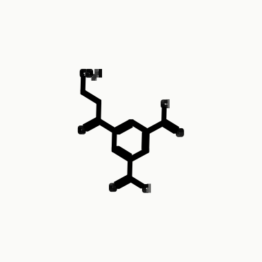 O=C(O)CCC(=O)c1cc(C(=O)Cl)cc(C(=O)Cl)c1